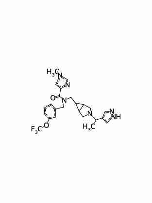 CC(c1cn[nH]c1)N1CC2C(CN(Cc3cccc(OC(F)(F)F)c3)C(=O)c3cn(C)cn3)C2C1